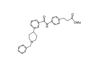 COC(=O)CCc1ccc(NC(=O)c2cccc(C3CCN(Cc4ccccc4)CC3)c2)cc1